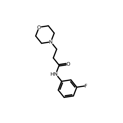 O=C(CCN1CCOCC1)Nc1cccc(F)c1